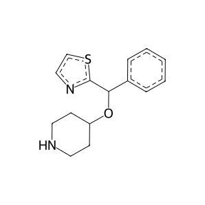 c1ccc(C(OC2CCNCC2)c2nccs2)cc1